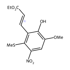 CCOC(=O)/C=C/c1c(O)c(OC)cc([N+](=O)[O-])c1SC